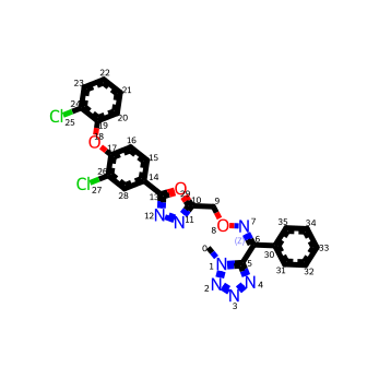 Cn1nnnc1/C(=N\OCc1nnc(-c2ccc(Oc3ccccc3Cl)c(Cl)c2)o1)c1ccccc1